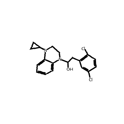 OC([CH]c1cc(Cl)ccc1Cl)N1CCN(C2CC2)c2ccccc21